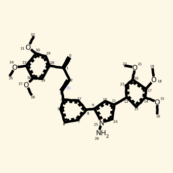 C=C(/C=C/c1cccc(-c2cc(-c3cc(OC)c(OC)c(OC)c3)cn2N)c1)c1cc(OC)c(OC)c(OC)c1